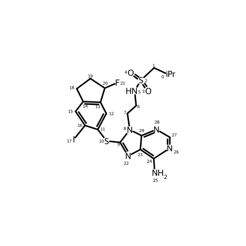 CC(C)CS(=O)(=O)NCCn1c(Sc2cc3c(cc2I)CCC3F)nc2c(N)ncnc21